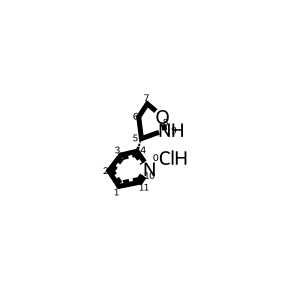 Cl.c1ccc([C@@H]2CCON2)nc1